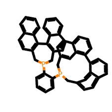 c1ccc(P2Cc3ccc4ccccc4c3-c3c(ccc4ccccc34)C2)c(P2Cc3ccc4cccc(c4c3)-c3cccc4ccc(cc34)C2)c1